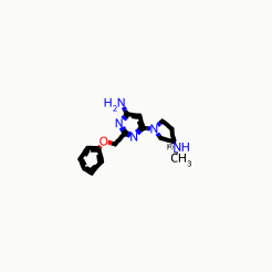 CN[C@@H]1CCN(c2cc(N)nc(COc3ccccc3)n2)C1